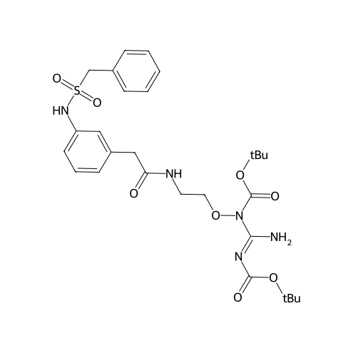 CC(C)(C)OC(=O)N=C(N)N(OCCNC(=O)Cc1cccc(NS(=O)(=O)Cc2ccccc2)c1)C(=O)OC(C)(C)C